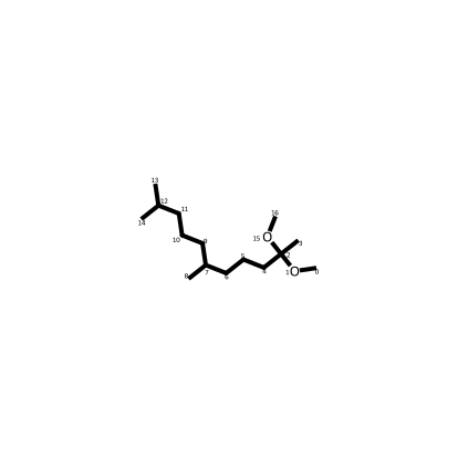 COC(C)(CCCC(C)CCCC(C)C)OC